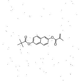 C=C(C)C(=O)Oc1ccc2cc(OC(=O)C(C)(C)C)ccc2c1